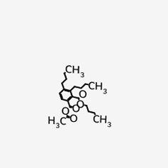 CCCCOC(=O)c1c(C(=O)OC(C)=O)ccc(CCCC)c1CCCC